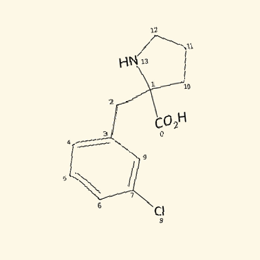 O=C(O)C1(Cc2cccc(Cl)c2)CCCN1